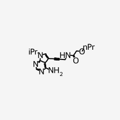 CCCOCC(=O)NCC#Cc1cn(C(C)C)c2ncnc(N)c12